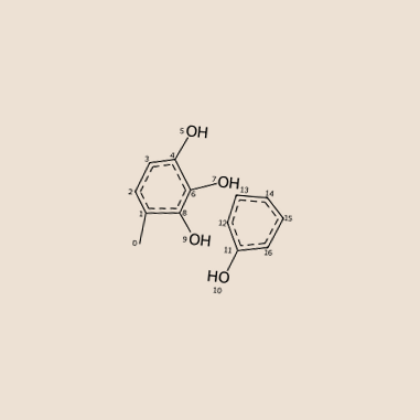 Cc1ccc(O)c(O)c1O.Oc1ccccc1